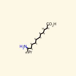 CCCC(N)CCCCCCCCCC(=O)O